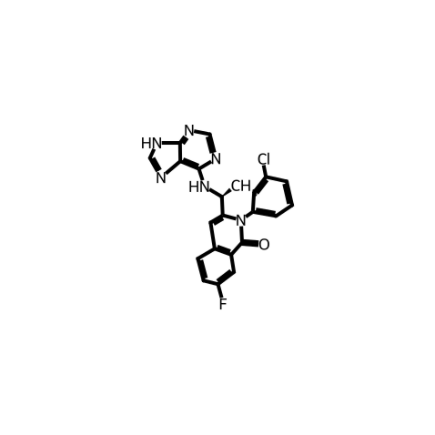 C[C@H](Nc1ncnc2[nH]cnc12)c1cc2ccc(F)cc2c(=O)n1-c1cccc(Cl)c1